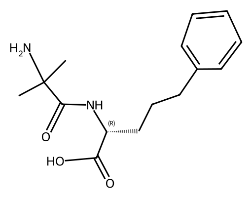 CC(C)(N)C(=O)N[C@H](CCCc1ccccc1)C(=O)O